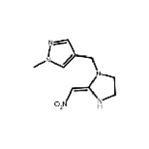 Cn1cc(CN2CCNC2=C[N+](=O)[O-])cn1